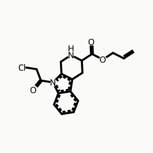 C=CCOC(=O)C1Cc2c(n(C(=O)CCl)c3ccccc23)CN1